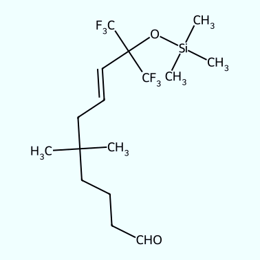 CC(C)(CC=CC(O[Si](C)(C)C)(C(F)(F)F)C(F)(F)F)CCCC=O